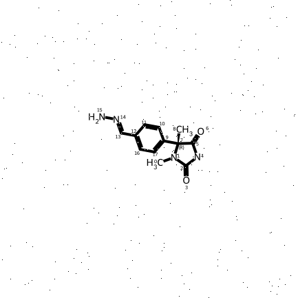 CN1C(=O)[N]C(=O)[C@@]1(C)c1ccc(C=NN)cc1